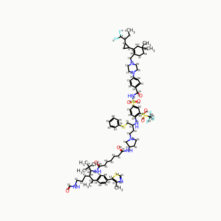 CCC(C(F)F)C1CC1C1=C(CN2CCN(c3ccc(C(=O)NS(=O)(=O)c4ccc(NC(CCN5CCC(NC(=O)CCCCCC(=O)NC(C(CCCNC=O)C(C)c6ccc(-c7scnc7C)cc6)C(C)(C)C)C5)CSc5ccccc5)c(S(=O)(=O)C(F)(F)F)c4)cc3)CC2)CCC(C)(C)C1